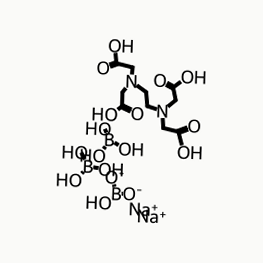 O=C(O)CN(CCN(CC(=O)O)CC(=O)O)CC(=O)O.OB(O)O.OB(O)O.[Na+].[Na+].[O-]B([O-])O